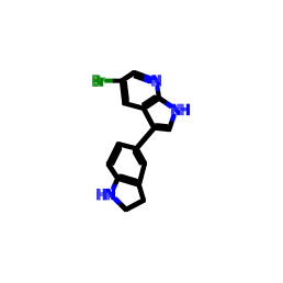 Brc1cnc2[nH]cc(-c3ccc4c(c3)CCN4)c2c1